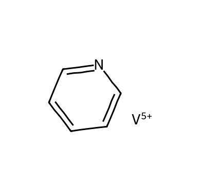 [V+5].c1ccncc1